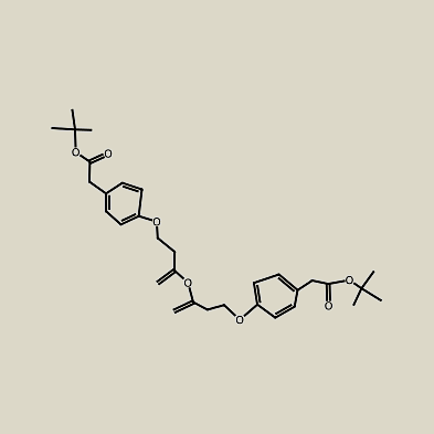 C=C(CCOc1ccc(CC(=O)OC(C)(C)C)cc1)OC(=C)CCOc1ccc(CC(=O)OC(C)(C)C)cc1